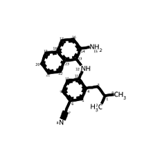 CC(C)Cc1cc(C#N)ccc1Nc1c(N)ccc2ccccc12